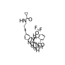 [2H]C([2H])([2H])N1C(=O)c2cccc(OC(F)F)c2[C@H]2C[C@@H]1c1nc3ccc(C#CCCNC(=O)C4CC4)cc3n12